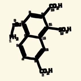 CCCCP.O=C(O)c1ccc2ccc(C(=O)O)c(S(=O)(=O)O)c2c1